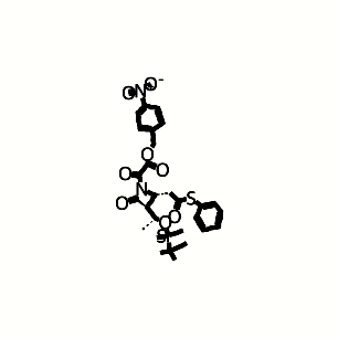 C[C@@H](O[Si](C)(C)C(C)(C)C)[C@H]1C(=O)N(C(=O)C(=O)OCc2ccc([N+](=O)[O-])cc2)[C@@H]1CC(=O)Sc1ccccc1